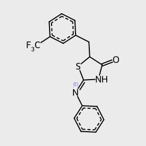 O=C1N/C(=N\c2ccccc2)SC1Cc1cccc(C(F)(F)F)c1